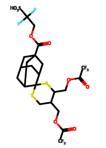 O=C(OCC1CSC2(SC1COC(=O)C(F)(F)F)C1CC3CC2CC(C(=O)OCC(F)(F)S(=O)(=O)O)(C3)C1)C(F)(F)F